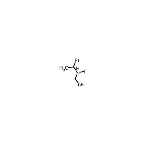 CCCC[SiH](I)C(C)CC